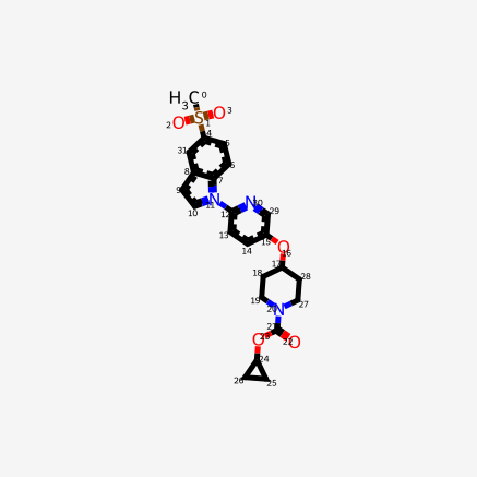 CS(=O)(=O)c1ccc2c(ccn2-c2ccc(OC3CCN(C(=O)OC4CC4)CC3)cn2)c1